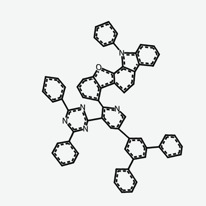 c1ccc(-c2cc(-c3ccccc3)cc(-c3cnc(-c4cccc5oc6c(ccc7c8ccccc8n(-c8ccccc8)c76)c45)c(-c4nc(-c5ccccc5)nc(-c5ccccc5)n4)c3)c2)cc1